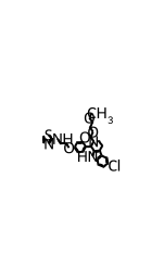 COCCOC(=O)N1CCc2c([nH]c3ccc(Cl)cc23)C1c1ccc(OCCNc2nccs2)cc1